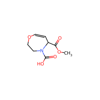 COC(=O)C1C=COCCN1C(=O)O